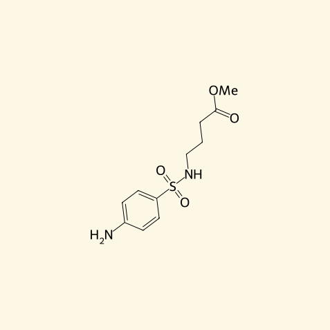 COC(=O)CCCNS(=O)(=O)c1ccc(N)cc1